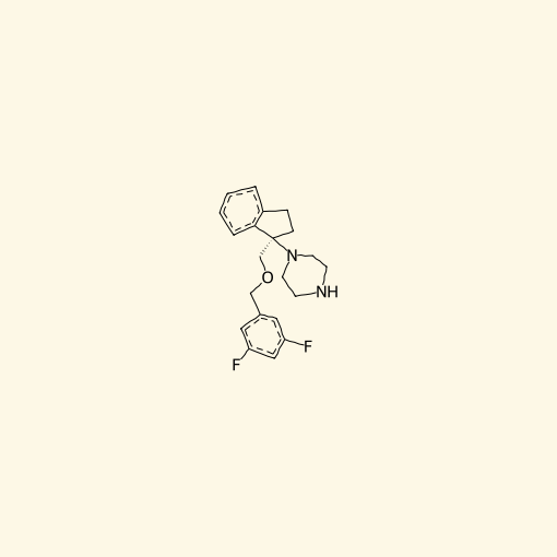 Fc1cc(F)cc(COC[C@@]2(N3CCNCC3)CCc3ccccc32)c1